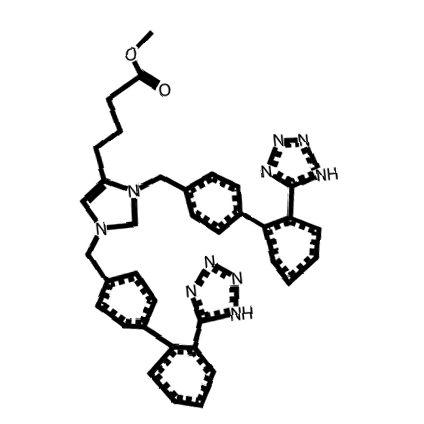 COC(=O)CCCC1=CN(Cc2ccc(-c3ccccc3-c3nnn[nH]3)cc2)CN1Cc1ccc(-c2ccccc2-c2nnn[nH]2)cc1